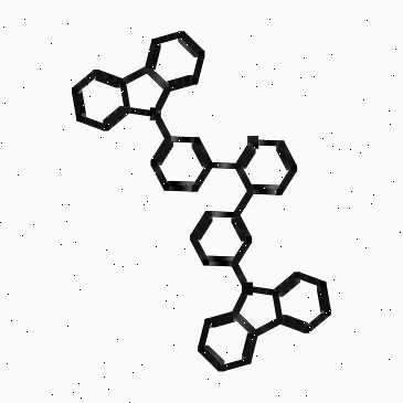 c1cc(-c2cccnc2-c2cccc(-n3c4ccccc4c4ccccc43)c2)cc(-n2c3ccccc3c3ccccc32)c1